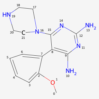 COc1ccccc1-c1c(N)nc(N)nc1N1CCNCC1